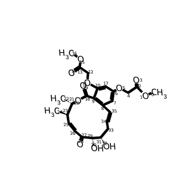 COC(=O)COc1cc2c(c(OCC(=O)OC)c1)C(=O)O[C@@H](C)[C@H](C)/C=C\C(=O)[C@@H](O)[C@@H](O)C/C=C/2